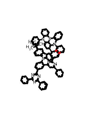 CC(C)(C)c1ccc2c(c1)c1ccccc1n2-c1ccc(-c2nc(-c3ccccc3)nc(-c3ccccc3)n2)cc1-c1cc(-c2ccccc2)nc(-c2cccc(-c3ccc4c5c3N(c3ccccc3)c3ccccc3B5c3ccccc3N4c3ccccc3)c2)n1